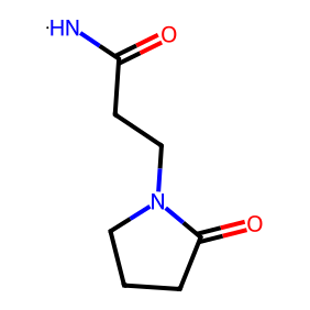 [NH]C(=O)CCN1CCCC1=O